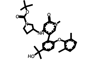 Cc1cccc(C)c1Oc1ccc(C(C)(C)O)cc1-c1cn(C)c(=O)cc1NC1CCN(C(=O)OC(C)(C)C)C1